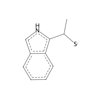 CC([S])c1[nH]cc2ccccc12